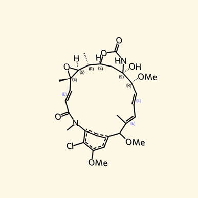 COc1cc2cc(c1Cl)N(C)C(=O)/C=C/[C@]1(C)O[C@H]1[C@H](C)[C@@H]1C[C@@](O)(NC(=O)O1)[C@H](OC)/C=C/C=C(\C)C2OC